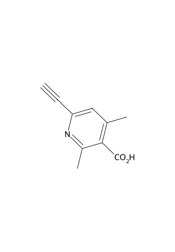 C#Cc1cc(C)c(C(=O)O)c(C)n1